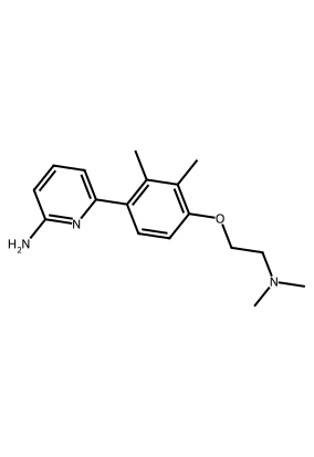 Cc1c(OCCN(C)C)ccc(-c2cccc(N)n2)c1C